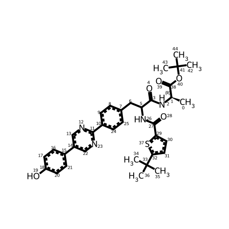 C[C@@H](NC(=O)C(Cc1ccc(-c2ncc(-c3ccc(O)cc3)cn2)cc1)NC(=O)c1ccc(C(C)(C)C)s1)C(=O)OC(C)(C)C